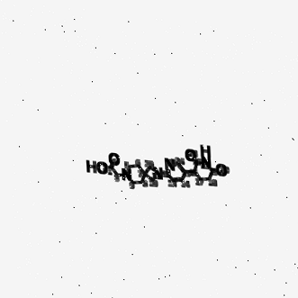 O=C(O)CN1CCC2(CC1)CN(c1ccc(C3CCC(=O)NC3=O)cn1)C2